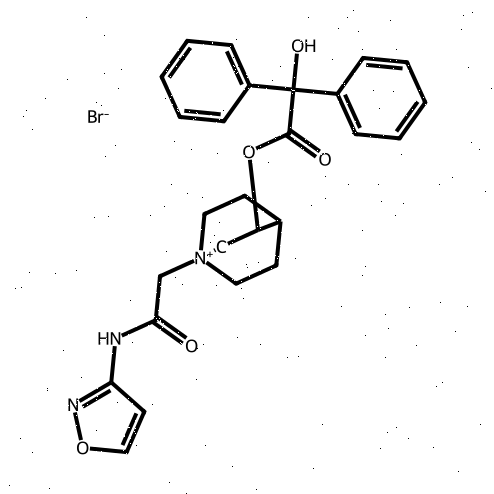 O=C(C[N+]12CCC(CC1)C(OC(=O)C(O)(c1ccccc1)c1ccccc1)C2)Nc1ccon1.[Br-]